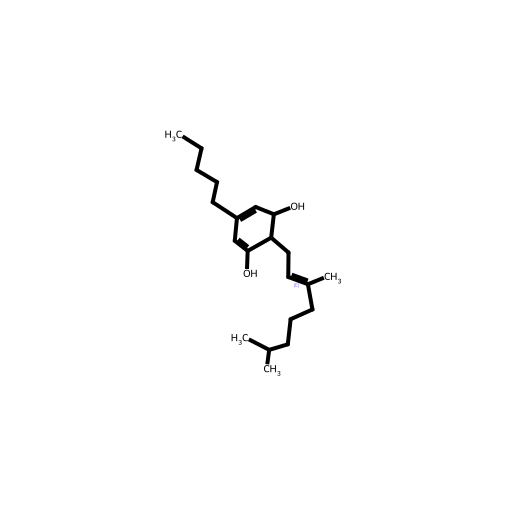 CCCCCC1=CC(O)C(C/C=C(\C)CCCC(C)C)C(O)=C1